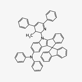 CC1C(c2ccccc2)=CC(c2ccccc2)=NC1n1c2c(c3cc(N(c4ccccc4)c4ccccc4)ccc31)C1(c3ccccc3-c3ccccc31)c1ccccc1-2